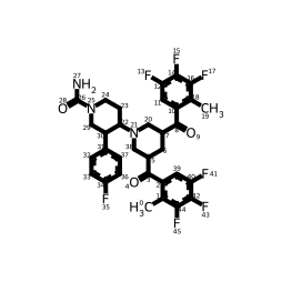 Cc1c(C(=O)[C]2CC(C(=O)c3cc(F)c(F)c(F)c3C)CN(C3CCN(C(N)=O)CC3c3ccc(F)cc3)C2)cc(F)c(F)c1F